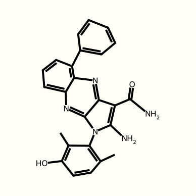 Cc1ccc(O)c(C)c1-n1c(N)c(C(N)=O)c2nc3c(-c4ccccc4)cccc3nc21